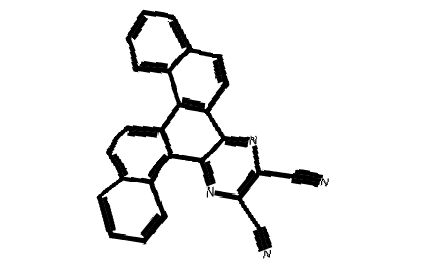 N#Cc1nc2c3ccc4ccccc4c3c3ccc4ccccc4c3c2nc1C#N